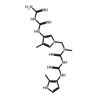 Cc1cn(CN(C)C(=N)NC(=N)Nc2cc[nH]c2C)cc1NC(=N)NC(=N)N